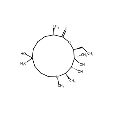 CC[C@@H]1OC(=O)[C@H](C)CCCC(C)(O)CCCN(C)[C@H](C)[C@@H](O)[C@]1(C)O